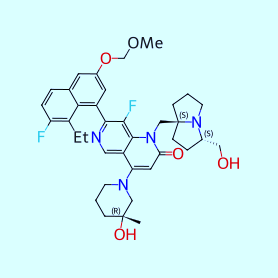 CCc1c(F)ccc2cc(OCOC)cc(-c3ncc4c(N5CCC[C@@](C)(O)C5)cc(=O)n(C[C@@]56CCCN5[C@H](CO)CC6)c4c3F)c12